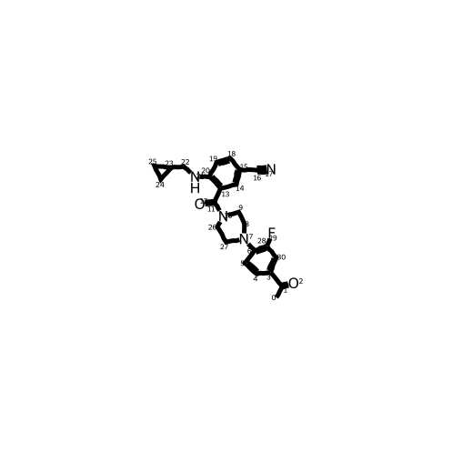 CC(=O)c1ccc(N2CCN(C(=O)c3cc(C#N)ccc3NCC3CC3)CC2)c(F)c1